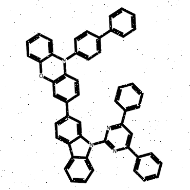 c1ccc(-c2ccc(N3c4ccccc4Oc4cc(-c5ccc6c7ccccc7n(-c7nc(-c8ccccc8)cc(-c8ccccc8)n7)c6c5)ccc43)cc2)cc1